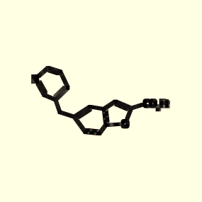 CCOC(=O)c1cc2cc(Cc3cccnc3)ccc2o1